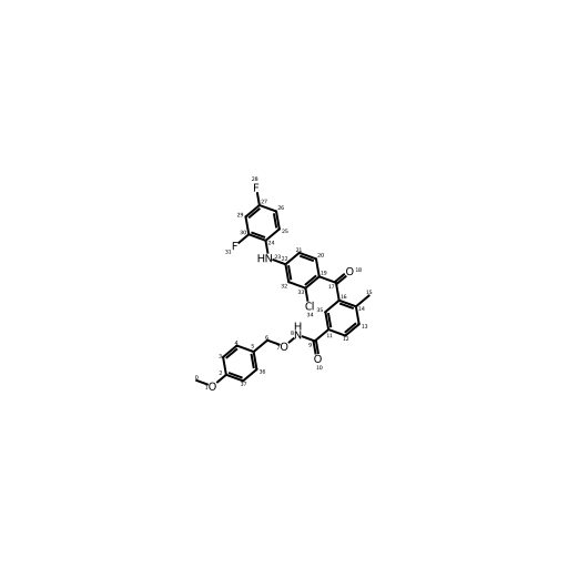 COc1ccc(CONC(=O)c2ccc(C)c(C(=O)c3ccc(Nc4ccc(F)cc4F)cc3Cl)c2)cc1